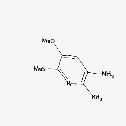 COc1cc(N)c(N)nc1SC